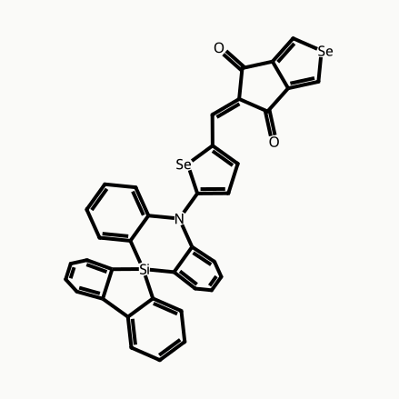 O=C1C(=Cc2ccc(N3c4ccccc4[Si]4(c5ccccc5-c5ccccc54)c4ccccc43)[se]2)C(=O)c2c[se]cc21